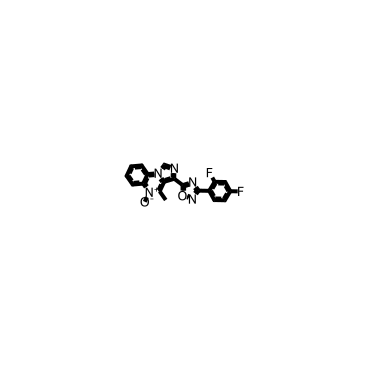 Cc1c2c(-c3nc(-c4ccc(F)cc4F)no3)ncn2c2ccccc2[n+]1[O-]